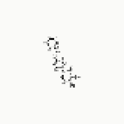 Fc1c(Br)ccc(-c2ccc(OCc3ccccc3)cc2)c1F